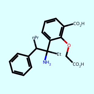 CCCC(c1ccccc1)C(N)(CC)c1cccc(C(=O)O)c1OCC(=O)O